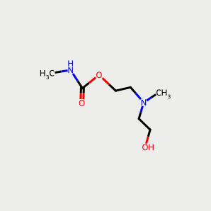 CNC(=O)OCCN(C)CCO